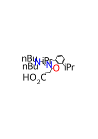 CCCCN(CCCC)CCN=C(CCC(=O)O)Oc1c(C(C)C)cccc1C(C)C